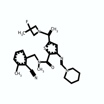 C=C(c1cc(/N=C/N2CCCCC2)c(C(=O)N(C)Cc2cccc(C)c2C#N)s1)N1CC(C)(F)C1